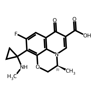 CNC1(c2c(F)cc3c(=O)c(C(=O)O)cn4c3c2OC[C@@H]4C)CC1